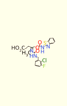 CN(C(=O)NCc1cccc(F)c1Cl)[C@@H](CCC(=O)O)COC(=O)Nc1nc2ccccc2s1